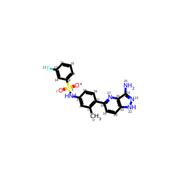 Cc1cc(NS(=O)(=O)c2cccc(F)c2)ccc1-c1ccc2[nH]nc(N)c2n1